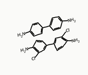 Nc1ccc(-c2ccc(N)c(Cl)c2)cc1Cl.Nc1ccc(-c2ccc(N)cc2)cc1